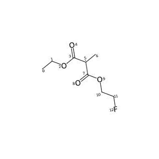 CCOC(=O)[C](C)C(=O)OCCF